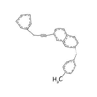 Cc1ccc(Cc2ccc3ccc(C#CCc4ccccc4)cc3c2)cc1